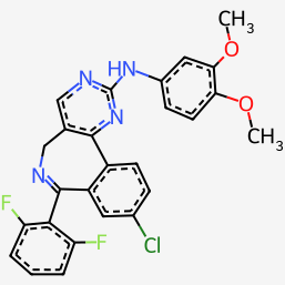 COc1ccc(Nc2ncc3c(n2)-c2ccc(Cl)cc2C(c2c(F)cccc2F)=NC3)cc1OC